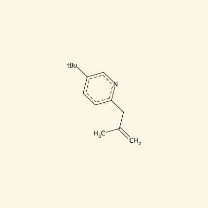 C=C(C)Cc1ccc(C(C)(C)C)cn1